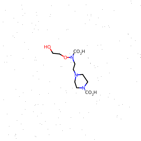 O=C(O)N1CCN(CCN(OCCO)C(=O)O)CC1